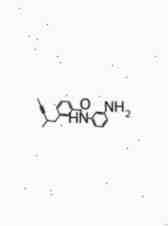 CC#CC(C)Cc1cccc(C(=O)Nc2cccc(N)c2)c1